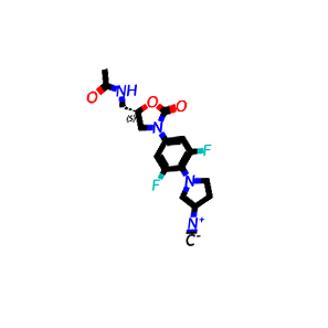 [C-]#[N+]C1CCN(c2c(F)cc(N3C[C@H](CNC(C)=O)OC3=O)cc2F)C1